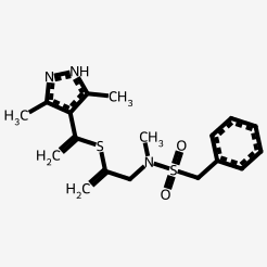 C=C(CN(C)S(=O)(=O)Cc1ccccc1)SC(=C)c1c(C)n[nH]c1C